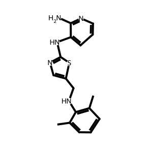 Cc1cccc(C)c1NCc1cnc(Nc2cccnc2N)s1